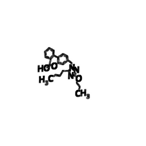 CC=CCc1nc(OCCC)nn1Cc1ccc(-c2ccccc2C(=O)O)cc1